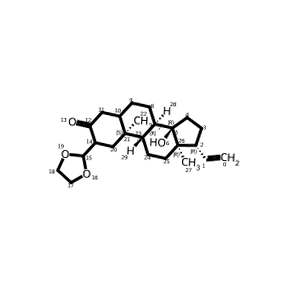 C=C[C@H]1CC[C@@]2(O)[C@@H]3CCC4CC(=O)C(C5OCCO5)C[C@]4(C)[C@H]3CC[C@]12C